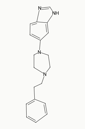 c1ccc(CCN2CCN(c3ccc4nc[nH]c4c3)CC2)cc1